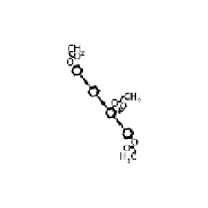 C=CC(=O)Oc1ccc(C#Cc2ccc(C#Cc3ccc(C#Cc4ccc(OC(=O)C=C)cc4)c(F)c3OC(=O)C=C)cc2)cc1